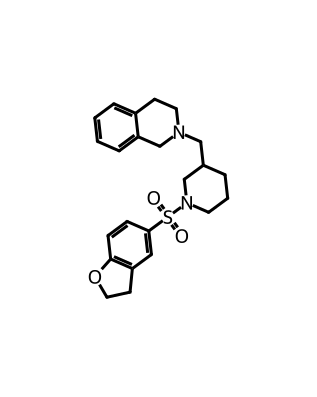 O=S(=O)(c1ccc2c(c1)CCO2)N1CCCC(CN2CCc3ccccc3C2)C1